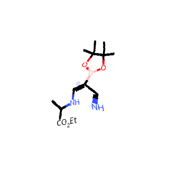 CCOC(=O)C(C)N/C=C(\C=N)B1OC(C)(C)C(C)(C)O1